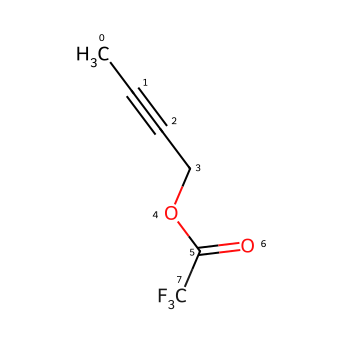 CC#CCOC(=O)C(F)(F)F